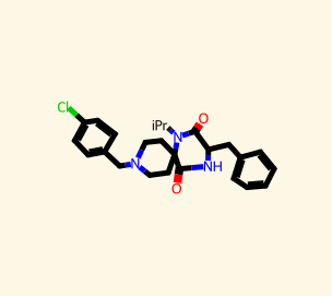 CC(C)N1C(=O)C(Cc2ccccc2)NC(=O)C12CCN(Cc1ccc(Cl)cc1)CC2